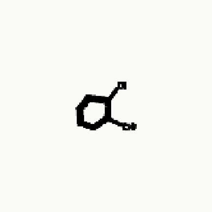 [CH]c1ccccc1C#N